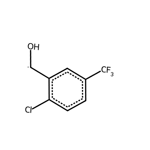 O[CH]c1cc(C(F)(F)F)ccc1Cl